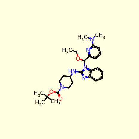 CCOC(c1cccc(N(C)C)n1)n1c(NC2CCN(C(=O)OC(C)(C)C)CC2)nc2ccccc21